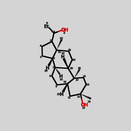 CCC(O)C1CC[C@H]2[C@@H]3CC[C@H]4C[C@](C)(O)CC[C@]4(C)[C@H]3CC[C@]12C